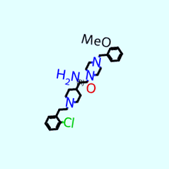 COc1ccccc1CN1CCN(C(=O)[C@H](N)C2CCN(CCc3ccccc3Cl)CC2)CC1